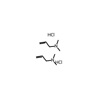 C=CCN(C)C.C=CCN(C)C.Cl.Cl